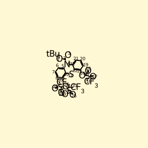 CC(C)(C)OC(=O)N1c2ccccc2Sc2c(OS(=O)(=O)C(F)(F)F)cccc21.O=S(=O)(OS(=O)(=O)C(F)(F)F)C(F)(F)F